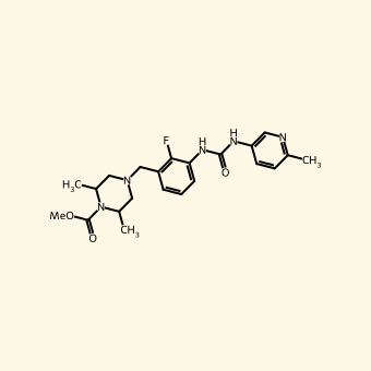 COC(=O)N1C(C)CN(Cc2cccc(NC(=O)Nc3ccc(C)nc3)c2F)CC1C